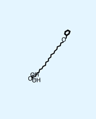 O=P(O)(O)CCCCCCCCCCCCCCCCCCCOCc1ccccc1